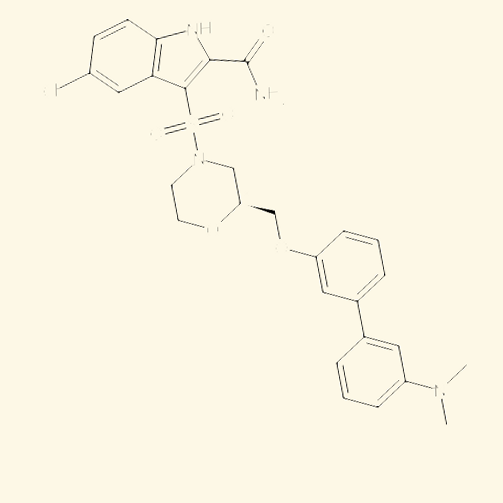 CN(C)c1cccc(-c2cccc(OC[C@@H]3CN(S(=O)(=O)c4c(C(N)=O)[nH]c5ccc(Cl)cc45)CCO3)c2)c1